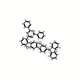 c1ccc(-c2nc(-c3ccccc3)nc(-c3cccc4oc5cc6c(cc5c34)oc3cc(-n4c5ccccc5c5ccccc54)ccc36)n2)cc1